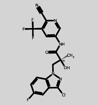 C[C@](O)(Cn1nc(Cl)c2cc(F)ccc21)C(=O)Nc1cnc(C#N)c(C(F)(F)F)c1